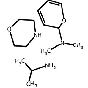 C1COCCN1.CC(C)N.CN(C)C1C=CC=CO1